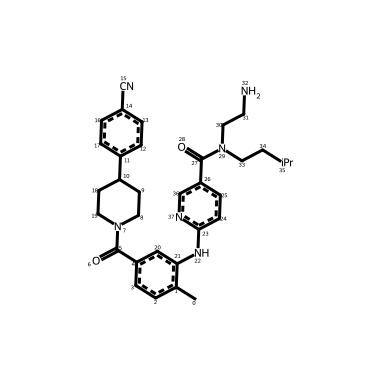 Cc1ccc(C(=O)N2CCC(c3ccc(C#N)cc3)CC2)cc1Nc1ccc(C(=O)N(CCN)CCC(C)C)cn1